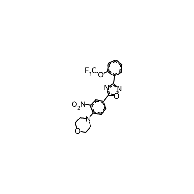 O=[N+]([O-])c1cc(-c2nc(-c3ccccc3OC(F)(F)F)no2)ccc1N1CCOCC1